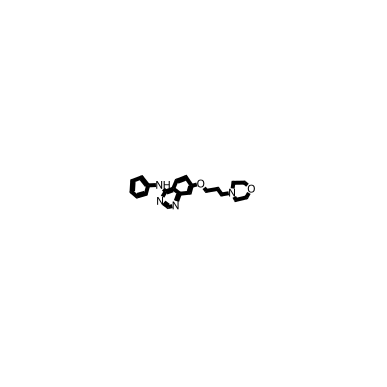 c1ccc(Nc2ncnc3cc(OCCCN4CCOCC4)ccc23)cc1